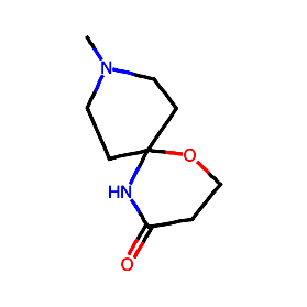 CN1CCC2(CC1)NC(=O)CCO2